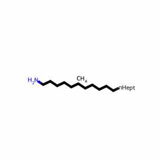 C.CCCCCCCCCCCCCCCCCCN